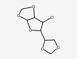 ClC1C(C2COCO2)OC2OCOC21